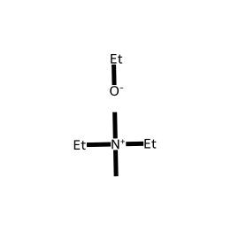 CC[N+](C)(C)CC.CC[O-]